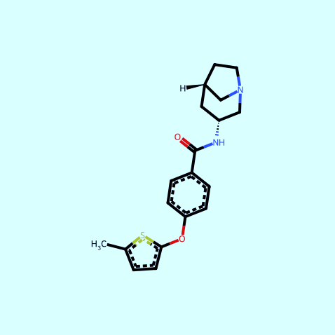 Cc1ccc(Oc2ccc(C(=O)N[C@@H]3C[C@@H]4CCN(C4)C3)cc2)s1